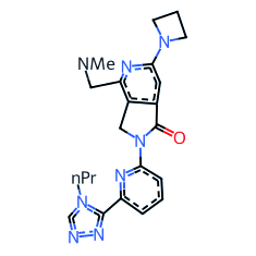 CCCn1cnnc1-c1cccc(N2Cc3c(cc(N4CCC4)nc3CNC)C2=O)n1